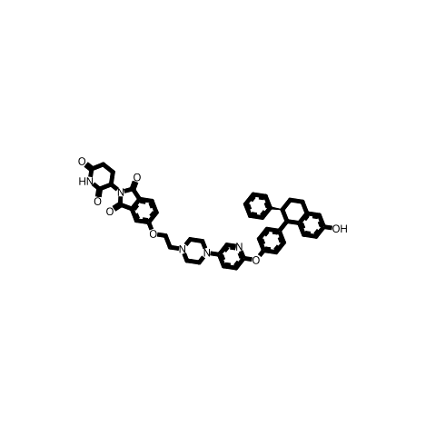 O=C1CCC(N2C(=O)c3ccc(OCCN4CCN(c5ccc(Oc6ccc(C7c8ccc(O)cc8CC[C@@H]7c7ccccc7)cc6)nc5)CC4)cc3C2=O)C(=O)N1